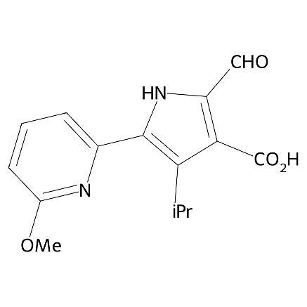 COc1cccc(-c2[nH]c(C=O)c(C(=O)O)c2C(C)C)n1